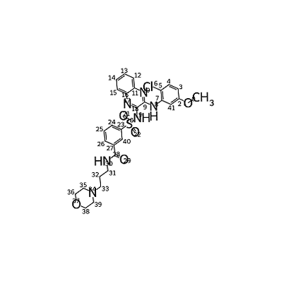 COc1ccc(Cl)c(Nc2nc3ccccc3nc2NS(=O)(=O)c2cccc(C(=O)NCCCN3CCOCC3)c2)c1